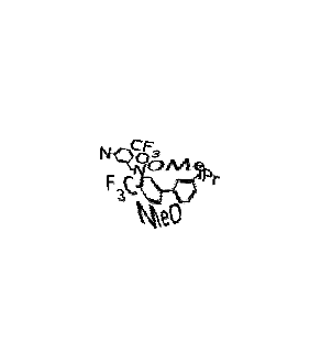 COC(=O)N(Cc1cc(N(C)C)cc(C(F)(F)F)c1)c1cc(-c2cc(C(C)C)ccc2OC)ccc1C(F)(F)F